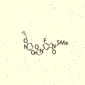 CSCN1Cc2c(F)cc(N3CC[C@@H](Oc4ccc(OCC5CC5)nc4)C3=O)cc2C1=O